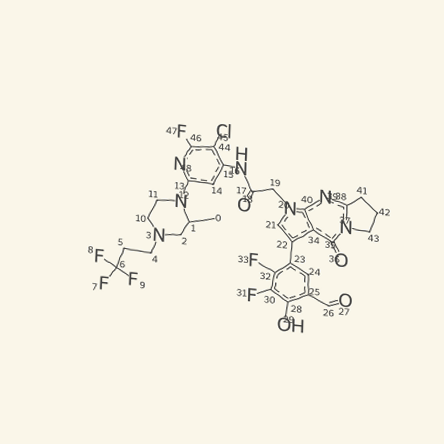 CC1CN(CCC(F)(F)F)CCN1c1cc(NC(=O)Cn2cc(-c3cc(C=O)c(O)c(F)c3F)c3c(=O)n4c(nc32)CCC4)c(Cl)c(F)n1